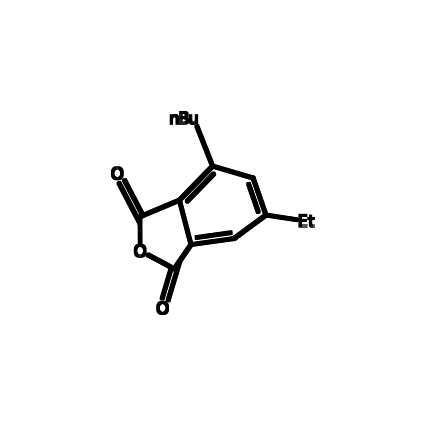 CCCCc1cc(CC)cc2c1C(=O)OC2=O